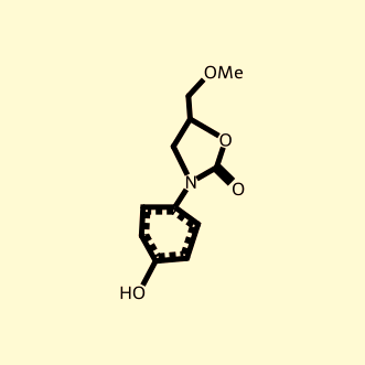 COCC1CN(c2ccc(O)cc2)C(=O)O1